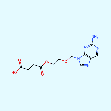 Nc1ncc2ncn(COCCOC(=O)CCC(=O)O)c2n1